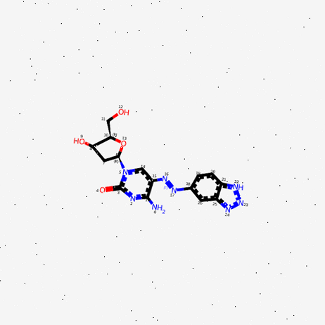 Nc1nc(=O)n([C@H]2CC(O)[C@@H](CO)O2)cc1/N=N/c1ccc2[nH]nnc2c1